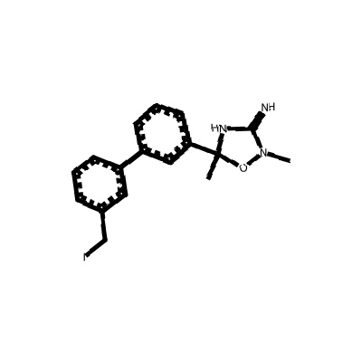 CN1OC(C)(c2cccc(-c3cccc(CI)c3)c2)NC1=N